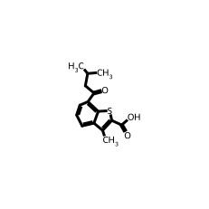 Cc1c(C(=O)O)sc2c(C(=O)CC(C)C)cccc12